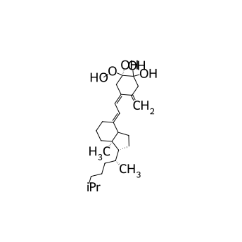 C=C1CC(O)(O)[C@](O)(OO)C/C1=C/C=C1CCC[C@@]2(C)C1CC[C@@H]2[C@H](C)CCCC(C)C